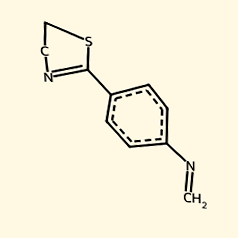 C=Nc1ccc(C2=NCCS2)cc1